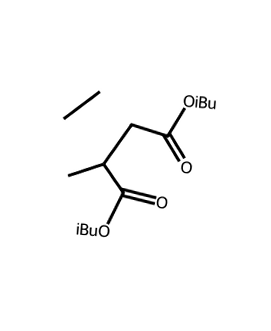 CC.CC(C)COC(=O)CC(C)C(=O)OCC(C)C